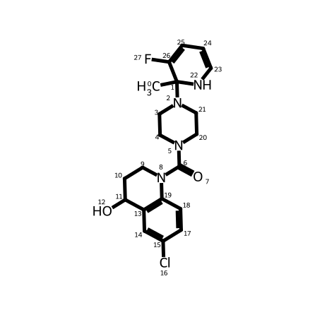 CC1(N2CCN(C(=O)N3CCC(O)c4cc(Cl)ccc43)CC2)NC=CC=C1F